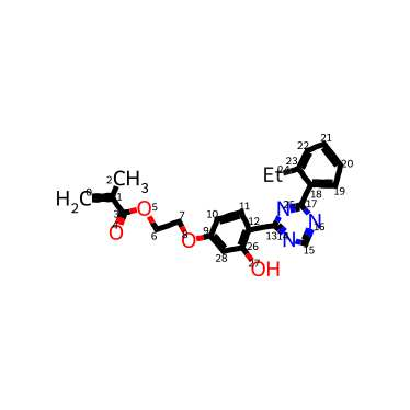 C=C(C)C(=O)OCCOc1ccc(-c2ncnc(-c3ccccc3CC)n2)c(O)c1